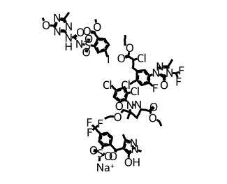 CCOC(=O)C(Cl)Cc1cc(-n2nc(C)n(C(F)F)c2=O)c(F)cc1Cl.CCOC(=O)C1=NN(c2ccc(Cl)cc2Cl)C(C)(C(=O)OCC)C1.COC(=O)c1ccc(I)cc1S(=O)(=O)[N-]C(=O)Nc1nc(C)nc(OC)n1.Cc1nn(C)c(O)c1C(=O)c1ccc(C(F)(F)F)cc1S(C)(=O)=O.[Na+]